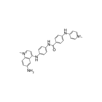 C[n+]1ccc(Nc2ccc(C(=O)Nc3ccc(Nc4cc[n+](C)c5ccc(N)cc45)cc3)cc2)cc1